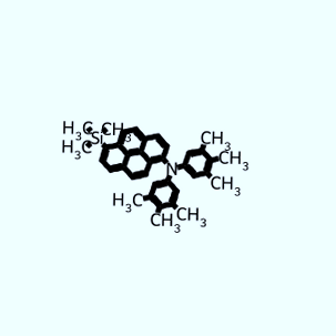 Cc1cc(N(c2cc(C)c(C)c(C)c2)c2ccc3ccc4c([Si](C)(C)C)ccc5ccc2c3c54)cc(C)c1C